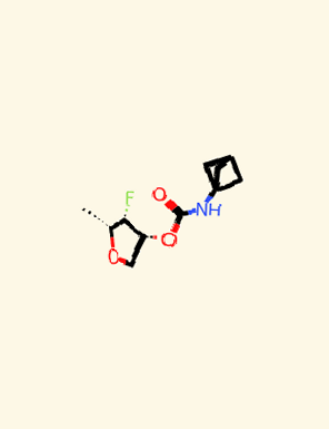 C[C@H]1OC[C@@H](OC(=O)NC23CC(C2)C3)[C@H]1F